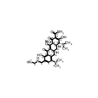 CN(C)c1cc(CNCC(C)(C)C)c(O)c2c1C[C@@H]1C[C@@H]3[C@@H](N(C)C)C(O)=C(C(N)=O)C(=O)[C@]3(O)C(O)=C1C2=O